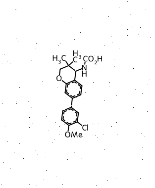 COc1ccc(-c2ccc3c(c2)OCC(C)(C)C3NC(=O)O)cc1Cl